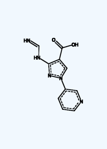 N=CNc1nn(-c2cccnc2)cc1C(=O)O